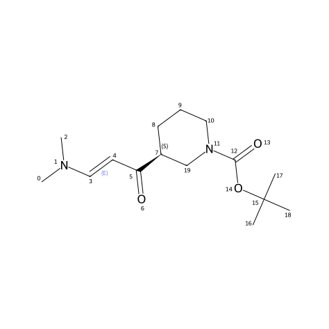 CN(C)/C=C/C(=O)[C@H]1CCCN(C(=O)OC(C)(C)C)C1